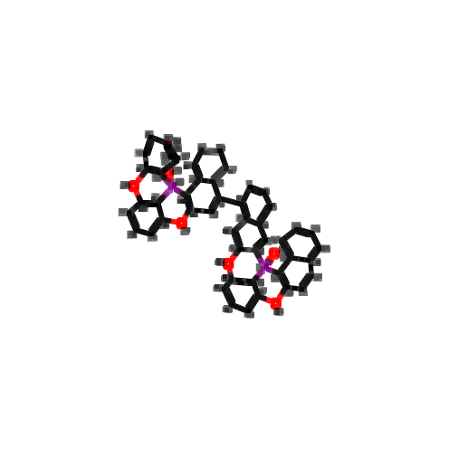 O=P12c3cc4cccc(-c5cc6c(c7ccccc57)P5(=O)c7c(cccc7O6)Oc6ccc7ccccc7c65)c4cc3Oc3cccc(c31)Oc1ccc3ccccc3c12